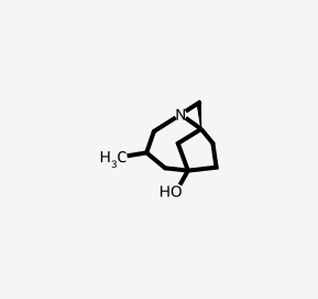 CC1CN2C[C@]23CCC(O)(C1)C3